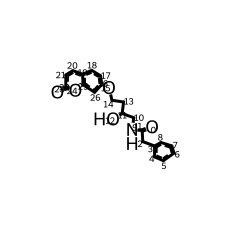 O=C(Cc1ccccc1)NCC(O)CCOc1ccc2ccc(=O)oc2c1